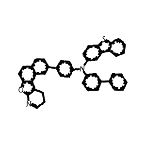 C1=Nc2oc3ccc4ccc(-c5ccc(N(c6cccc(-c7ccccc7)c6)c6ccc7sc8ccccc8c7c6)cc5)cc4c3c2CC1